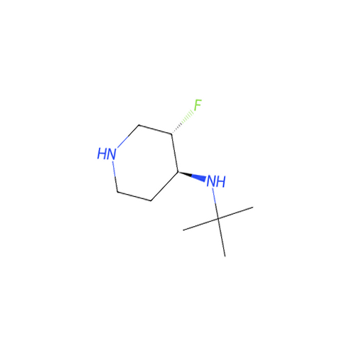 CC(C)(C)N[C@H]1CCNC[C@@H]1F